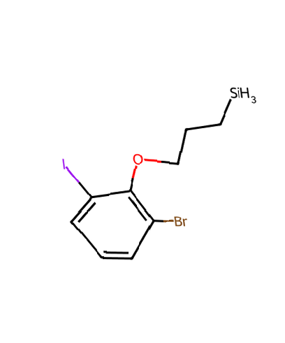 [SiH3]CCCOc1c(Br)cccc1I